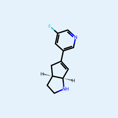 Fc1cncc(C2=C[C@H]3NCC[C@H]3C2)c1